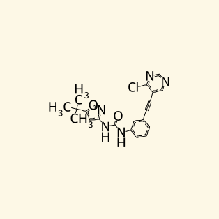 CC(C)(C)c1cc(NC(=O)Nc2cccc(C#Cc3cncnc3Cl)c2)no1